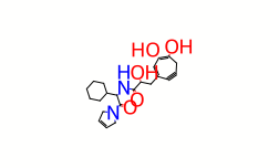 O=C(N[C@H](C(=O)N1CC=CC1)C1CCCCC1)[C@H](O)CC1=CC(O)=C(O)CC#C1